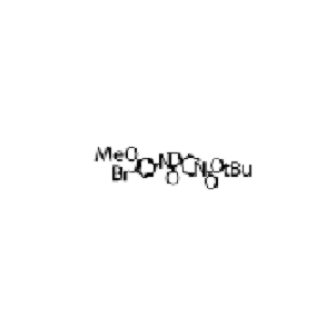 COc1cc(N2CCC3(CCN(C(=O)OC(C)(C)C)CC3)C2=O)ccc1Br